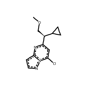 COC[C@H](c1cc(Cl)n2nccc2n1)C1CC1